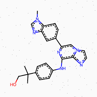 Cn1cnc2cc(-c3cn4ccnc4c(Nc4ccc(C(C)(C)CO)cc4)n3)ccc21